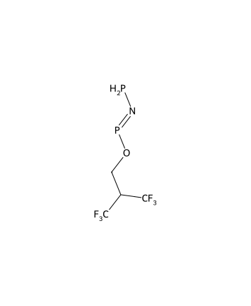 FC(F)(F)C(COP=NP)C(F)(F)F